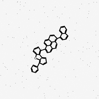 c1ccc(-c2cccc3c2oc2cccc(-c4ccc5ccc6c(-c7cccc8ccccc78)ccc7ccc4c5c76)c23)cc1